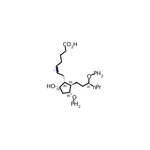 CCC[C@@H](CC[C@@H]1[C@@H](C/C=C\CCCC(=O)O)[C@@H](O)C[C@H]1OP)OP